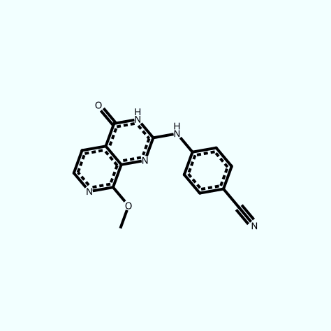 COc1nccc2c(=O)[nH]c(Nc3ccc(C#N)cc3)nc12